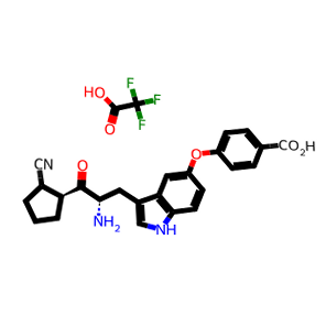 N#CC1CCC[C@@H]1C(=O)[C@@H](N)Cc1c[nH]c2ccc(Oc3ccc(C(=O)O)cc3)cc12.O=C(O)C(F)(F)F